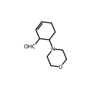 O=CC1C=CCCC1N1CCOCC1